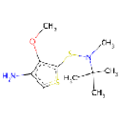 COc1c(N)csc1SN(C)C(C)(C)C